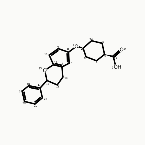 O=C(O)[C@H]1CC[C@@H](Oc2ccc3c(c2)CCC(c2ccccc2)O3)CC1